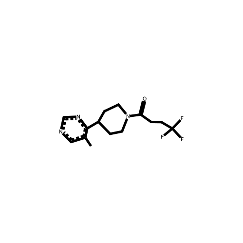 Cc1cncnc1C1CCN(C(=O)CCC(F)(F)F)CC1